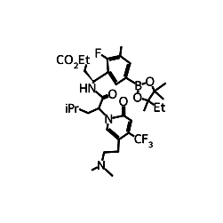 CCOC(=O)C[C@H](NC(=O)C(CC(C)C)n1cc(CCN(C)C)c(C(F)(F)F)cc1=O)c1cc(B2OC(C)(C)C(C)(CC)O2)cc(C)c1F